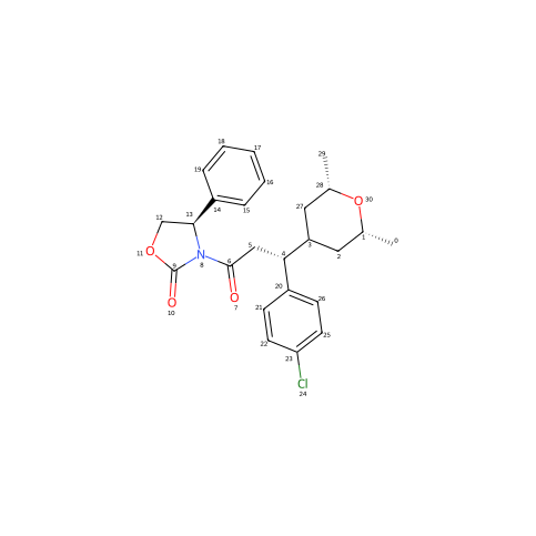 C[C@@H]1CC([C@@H](CC(=O)N2C(=O)OC[C@H]2c2ccccc2)c2ccc(Cl)cc2)C[C@H](C)O1